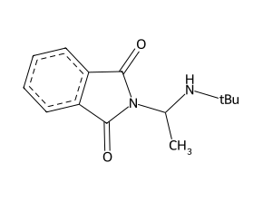 CC(NC(C)(C)C)N1C(=O)c2ccccc2C1=O